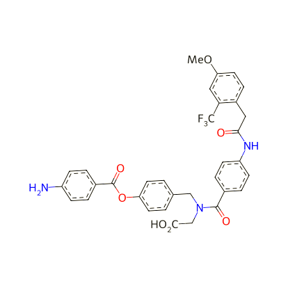 COc1ccc(CC(=O)Nc2ccc(C(=O)N(CC(=O)O)Cc3ccc(OC(=O)c4ccc(N)cc4)cc3)cc2)c(C(F)(F)F)c1